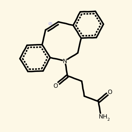 NC(=O)CCC(=O)N1Cc2ccccc2/C=C\c2ccccc21